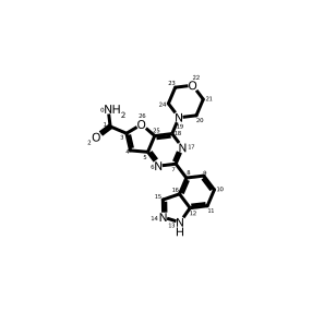 NC(=O)c1cc2nc(-c3cccc4[nH]ncc34)nc(N3CCOCC3)c2o1